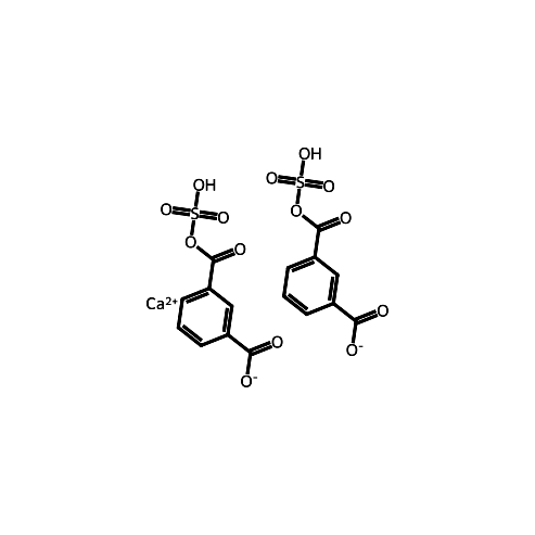 O=C([O-])c1cccc(C(=O)OS(=O)(=O)O)c1.O=C([O-])c1cccc(C(=O)OS(=O)(=O)O)c1.[Ca+2]